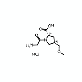 COC[C@@H]1C[C@@H](C(=O)O)N(C(=O)CN)C1.Cl